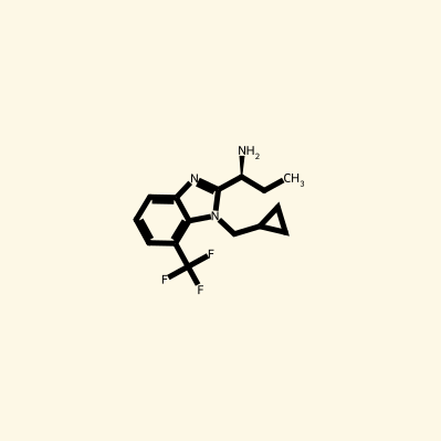 CC[C@H](N)c1nc2cccc(C(F)(F)F)c2n1CC1CC1